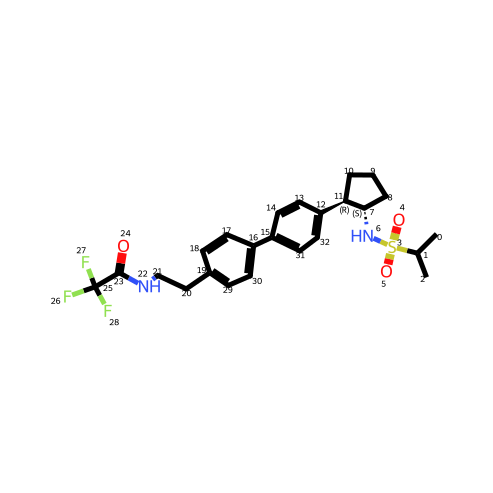 CC(C)S(=O)(=O)N[C@H]1CCC[C@@H]1c1ccc(-c2ccc(CCNC(=O)C(F)(F)F)cc2)cc1